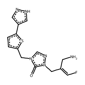 NC/C(=C\F)Cn1ncn(Cc2ccc(-c3cn[nH]c3)s2)c1=O